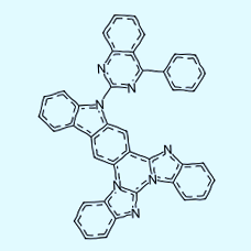 c1ccc(-c2nc(-n3c4ccccc4c4cc5c(cc43)c3nc4ccccc4n3c3nc4ccccc4n53)nc3ccccc23)cc1